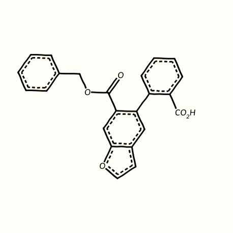 O=C(O)c1ccccc1-c1cc2ccoc2cc1C(=O)OCc1ccccc1